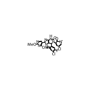 COc1ncc(-c2nc3c(n2C(C)C)C(c2ccc(Cl)c(F)c2)N(c2cc(Cl)cn(C)c2=O)C(=O)N3)c(OC)n1